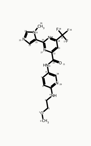 COCCNc1ccc(NC(=O)c2cc(C(F)(F)F)nc(-c3cncn3C)n2)cn1